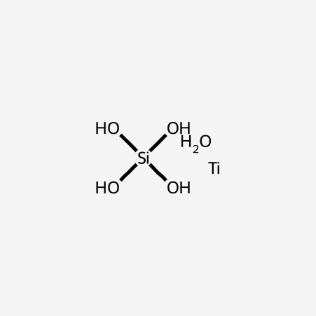 O.O[Si](O)(O)O.[Ti]